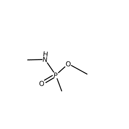 CNP(C)(=O)OC